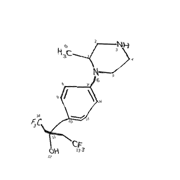 CC1CNCCN1c1ccc(C(O)(C(F)(F)F)C(F)(F)F)cc1